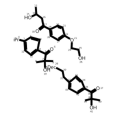 CC(C)c1ccc(C(=O)C(C)(C)O)cc1.CC(O)CC(=O)c1ccc(OCCO)cc1.CCCCCCCCCCCCc1ccc(C(=O)C(C)(C)O)cc1